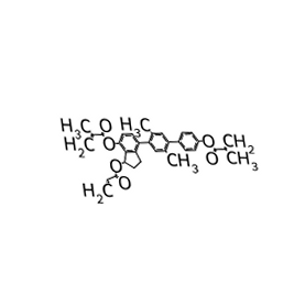 C=CC(=O)OC1CCc2c(-c3cc(C)c(-c4ccc(OC(=O)C(=C)C)cc4)cc3C)ccc(OC(=O)C(=C)C)c21